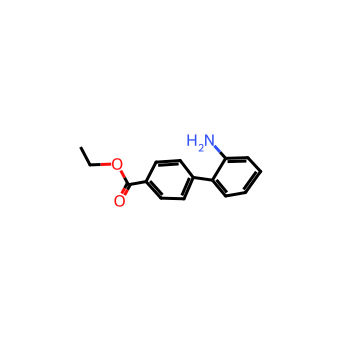 CCOC(=O)c1ccc(-c2ccccc2N)cc1